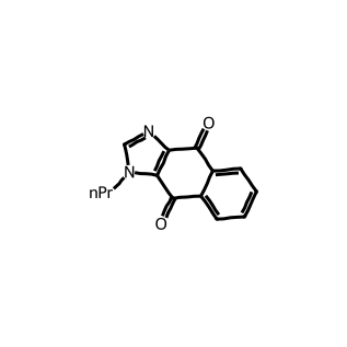 CCCn1cnc2c1C(=O)c1ccccc1C2=O